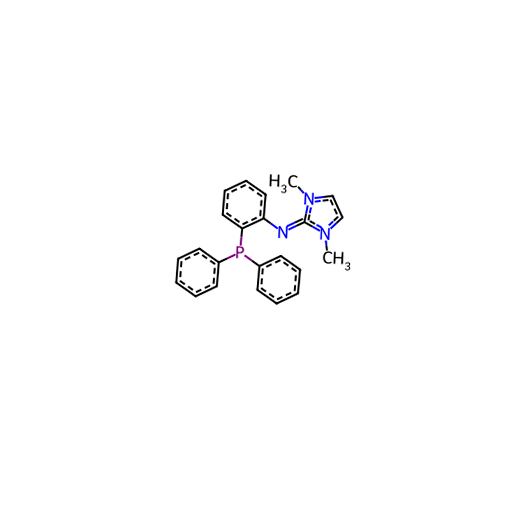 Cn1ccn(C)c1=Nc1ccccc1P(c1ccccc1)c1ccccc1